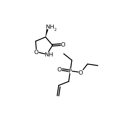 C=CCP(=O)(CC)OCC.N[C@@H]1CONC1=O